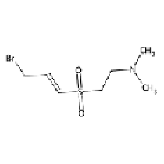 CN(C)CCS(=O)(=O)/C=C/CBr